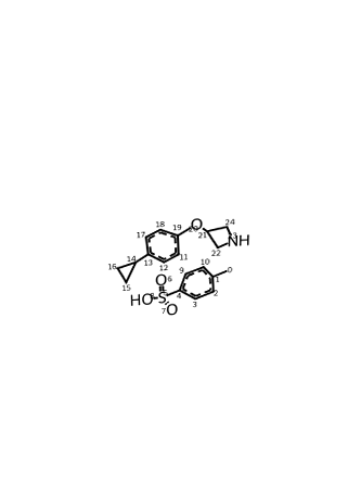 Cc1ccc(S(=O)(=O)O)cc1.c1cc(C2CC2)ccc1OC1CNC1